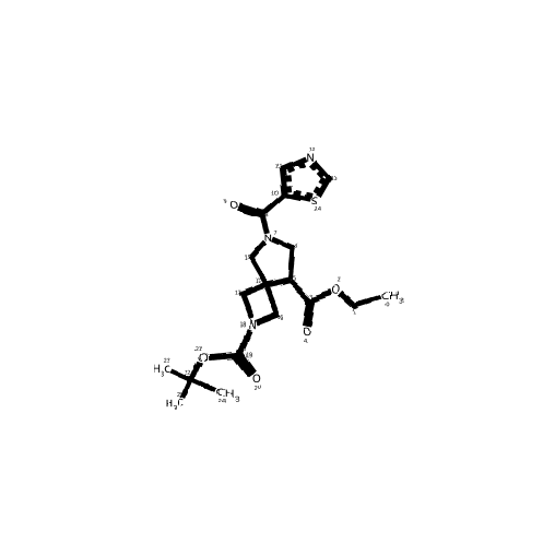 CCOC(=O)C1CN(C(=O)c2cncs2)CC12CN(C(=O)OC(C)(C)C)C2